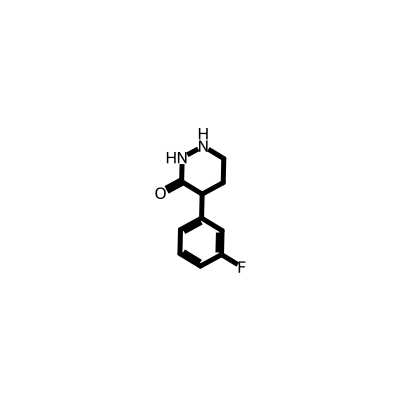 O=C1NNCCC1c1cccc(F)c1